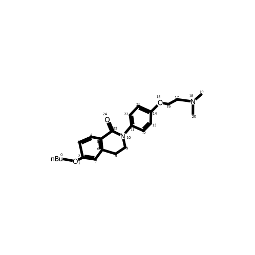 CCCCOc1ccc2c(c1)CCN(c1ccc(OCCN(C)C)cc1)C2=O